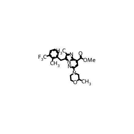 COC(=O)c1cc(N2CCOC(C)C2)nn2c(Cc3cccc(C(F)(F)F)c3C)c(C)nc12